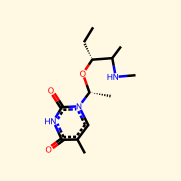 CC[C@@H](O[C@H](C)n1cc(C)c(=O)[nH]c1=O)C(C)NC